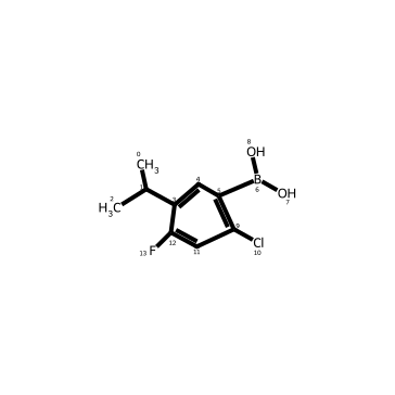 CC(C)c1cc(B(O)O)c(Cl)cc1F